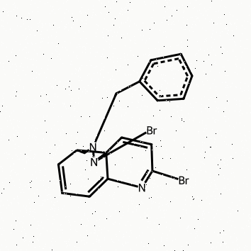 BrC1=NC2=CC=CC3CN(Cc4ccccc4)N(Br)C23C=C1